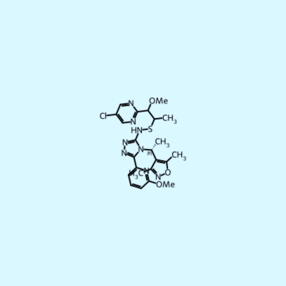 COc1cccc(-c2nnc(NSC(C)C(OC)c3ncc(Cl)cn3)n2[C@H](C)c2c(C)noc2C)n1